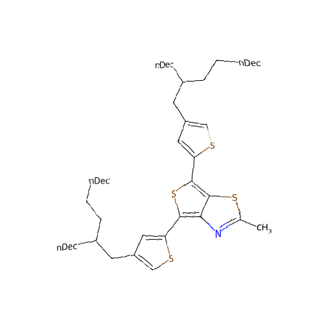 CCCCCCCCCCCCC(CCCCCCCCCC)Cc1csc(-c2sc(-c3cc(CC(CCCCCCCCCC)CCCCCCCCCCCC)cs3)c3sc(C)nc23)c1